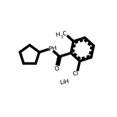 Cc1cccc(Cl)c1C(=O)PC1CCCC1.[LiH]